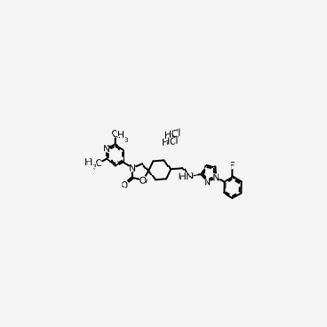 Cc1cc(N2CC3(CCC(CNc4ccn(-c5ccccc5F)n4)CC3)OC2=O)cc(C)n1.Cl.Cl